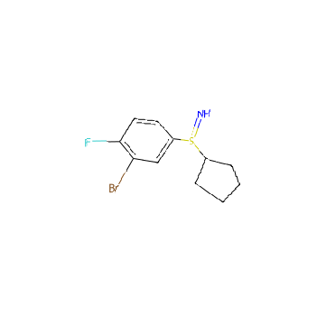 N=S(c1ccc(F)c(Br)c1)C1CCCC1